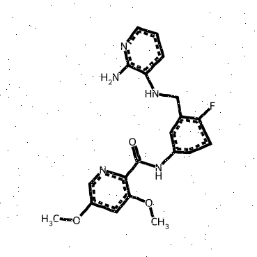 COc1cnc(C(=O)Nc2ccc(F)c(CNc3cccnc3N)c2)c(OC)c1